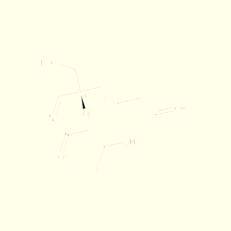 C=CC/C=C/[C@](C)(/C=N\C(=C)CC(C)F)CC